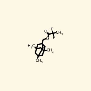 CC12CC3(C)CC(C)(C1)CC(COC(=O)C(C)(F)F)(C2)C3